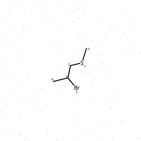 CSCC(C)Br